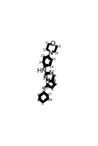 c1ccc(Sc2ccc3cnc(Nc4ccc(N5CCOCC5)cc4)nn23)cc1